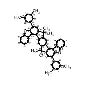 Cc1cc(C)cc(-c2cc3c(c4c2oc2ccccc24)-c2cc4c(cc2C3(C)C)-c2c(cc(-c3cc(C)cc(C)c3)c3oc5ccccc5c23)C4(C)C)c1